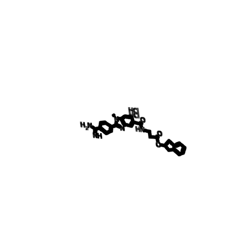 Cl.Cl.Cn1c(-c2ccc(C(=N)N)cc2)nc2cc(C(=O)NCCC(=O)OC3Cc4ccccc4C3)ccc21